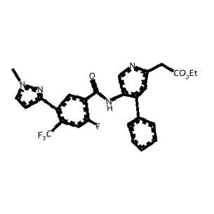 CCOC(=O)Cc1cc(-c2ccccc2)c(NC(=O)c2cc(-c3ccn(C)n3)c(C(F)(F)F)cc2F)cn1